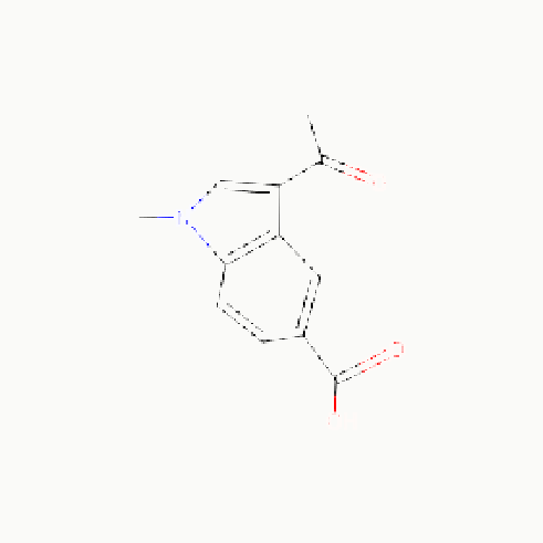 CC(=O)c1cn(C)c2ccc(C(=O)O)cc12